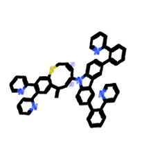 C=C1/C=C(n2c3ccc(-c4ccccc4-c4ccccn4)cc3c3cc(-c4ccccc4-c4ccccn4)ccc32)\C=C/CSc2cc(-c3ccccn3)c(-c3ccccn3)cc21